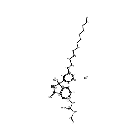 CCCCCCCCCCCCOc1cccc(C2(O)NC(=O)c3c[n+](CC(=O)OCC)ccc32)c1.[Br-]